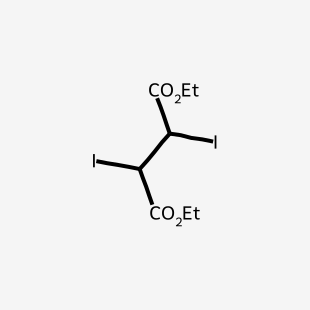 CCOC(=O)C(I)C(I)C(=O)OCC